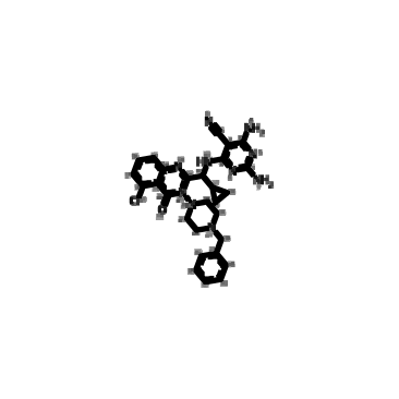 N#Cc1c(N)nc(N)nc1NC(c1nc2cccc(Cl)c2c(=O)n1N1CCN(Cc2ccccc2)CC1)C1CC1